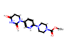 CC(C)(C)OC(=O)N1CCN(c2ccc(N3CCC(=O)NC3=O)cn2)CC1